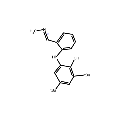 C/N=C/c1ccccc1Pc1cc(C(C)(C)C)cc(C(C)(C)C)c1O